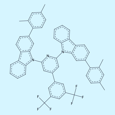 Cc1ccc(-c2ccc3c4ccccc4n(-c4cc(-c5cc(C(F)(F)F)cc(C(F)(F)F)c5)cc(-n5c6ccccc6c6ccc(-c7ccc(C)cc7C)cc65)n4)c3c2)c(C)c1